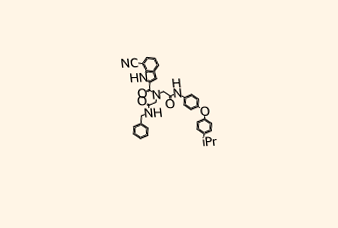 CC(C)c1ccc(Oc2ccc(NC(=O)CN(CC(=O)NCc3ccccc3)C(=O)c3cc4cccc(C#N)c4[nH]3)cc2)cc1